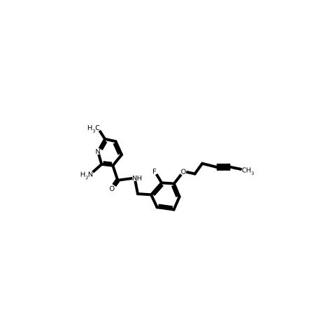 CC#CCCOc1cccc(CNC(=O)c2ccc(C)nc2N)c1F